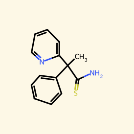 CC(C(N)=S)(c1ccccc1)c1ccccn1